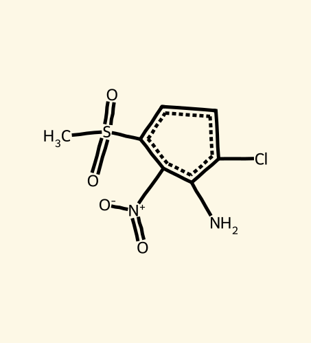 CS(=O)(=O)c1ccc(Cl)c(N)c1[N+](=O)[O-]